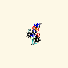 Cn1cnc(S(=O)(=O)N2C[C@@H](NC(=O)c3cccc(C(F)(F)F)c3Cl)[C@H](c3ccccc3F)C2)c1